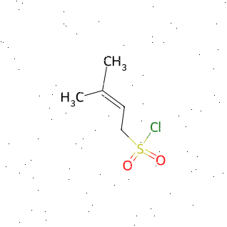 CC(C)=CCS(=O)(=O)Cl